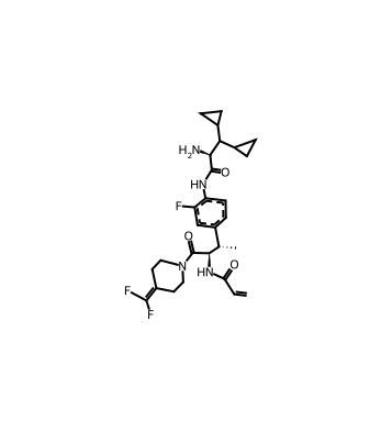 C=CC(=O)N[C@@H](C(=O)N1CCC(=C(F)F)CC1)[C@@H](C)c1ccc(NC(=O)[C@@H](N)C(C2CC2)C2CC2)c(F)c1